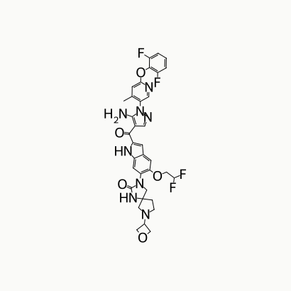 Cc1cc(Oc2c(F)cccc2F)ncc1-n1ncc(C(=O)c2cc3cc(OCC(F)F)c(N4CC5(CCN(C6COC6)C5)NC4=O)cc3[nH]2)c1N